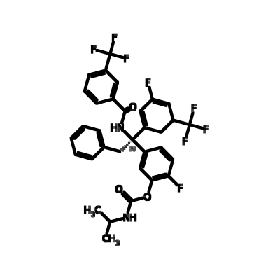 CC(C)NC(=O)Oc1cc([C@@](Cc2ccccc2)(NC(=O)c2cccc(C(F)(F)F)c2)C2=CC(F)=CC(C(F)(F)F)C2)ccc1F